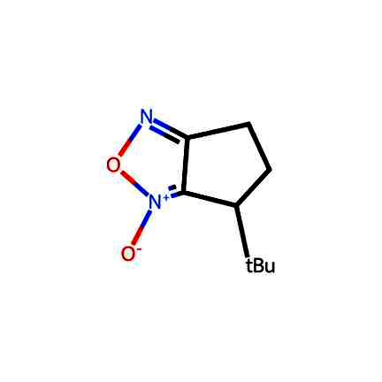 CC(C)(C)C1CCc2no[n+]([O-])c21